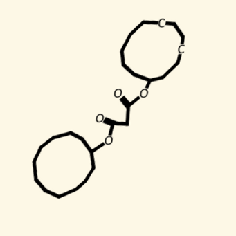 O=C(CC(=O)OC1CCCCCCCCCCC1)OC1CCCCCCCCCCC1